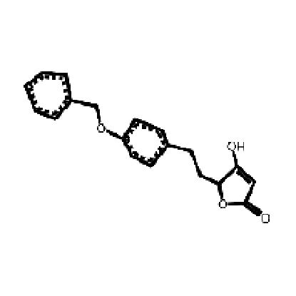 O=C1C=C(O)C(CCc2ccc(OCc3ccccc3)cc2)O1